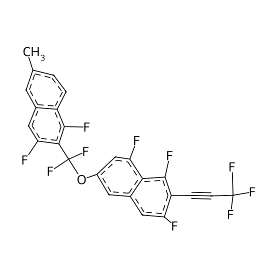 Cc1ccc2c(F)c(C(F)(F)Oc3cc(F)c4c(F)c(C#CC(F)(F)F)c(F)cc4c3)c(F)cc2c1